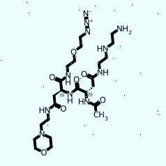 CC(=O)N[C@@H](CC(=O)NCCNCCN)C(=O)N[C@@H](CC(=O)NCCN1CCOCC1)C(=O)NCCOCCN=[N+]=[N-]